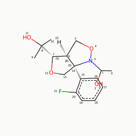 CC(O)N1OC[C@@H]2[C@@H](C(C)(C)O)OC[C@@]21c1ccccc1F